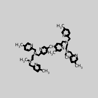 CCN(CCN(Cc1ccc(C)cn1)Cc1ccc(C)cn1)Cc1ccc(C)cn1.Cc1ccc(CN(C)C=CN(Cc2ccc(C)cn2)Cc2ccc(C)cn2)nc1